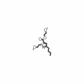 CCCCc1cc(C(=O)OCCOC)n(CCOC)n1